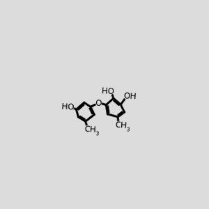 Cc1cc(O)cc(Oc2cc(C)cc(O)c2O)c1